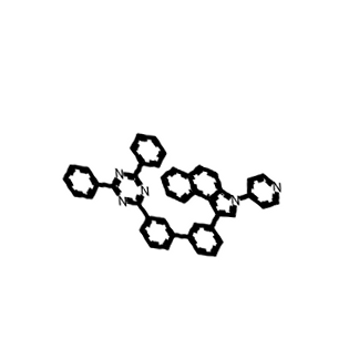 c1ccc(-c2nc(-c3ccccc3)nc(-c3cccc(-c4cccc(-c5cn(-c6ccncc6)c6ccc7ccccc7c56)c4)c3)n2)cc1